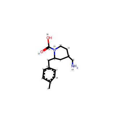 Cc1ccc(CC2CC(CN)CCN2C(=O)O)cc1